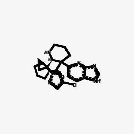 O=C(N1CCCC1)C1(c2ccc3[nH]cnc3n2)CCCN[C@H]1C1(n2cc(Cl)cn2)CC1